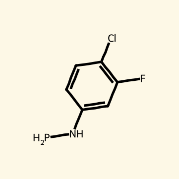 Fc1cc(NP)ccc1Cl